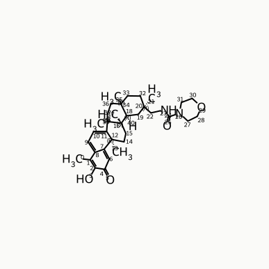 CC1=C(O)C(=O)C=C2C1=CC=C1[C@@]2(C)CC[C@@]2(C)[C@@H]3C[C@](C)(CNC(=O)N4CCOCC4)CC[C@@]3(C)CC[C@]12C